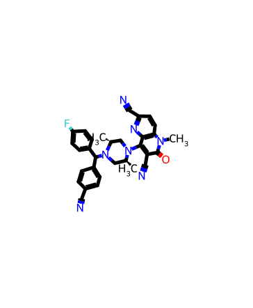 C[C@@H]1CN(c2c(C#N)c(=O)n(C)c3ccc(C#N)nc23)[C@@H](C)CN1C(c1ccc(F)cc1)c1ccc(C#N)cc1